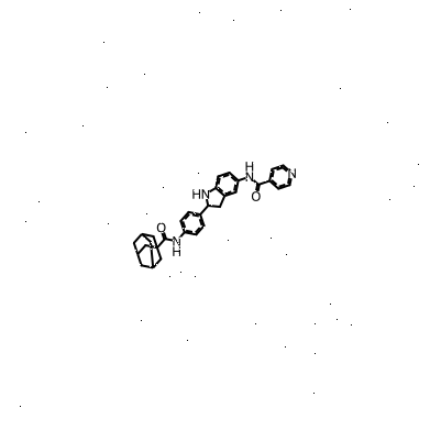 O=C(Nc1ccc2c(c1)CC(c1ccc(NC(=O)C34CC5CC(CC(C5)C3)C4)cc1)N2)c1ccncc1